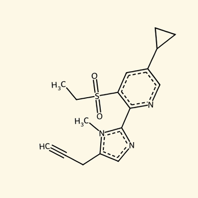 C#CCc1cnc(-c2ncc(C3CC3)cc2S(=O)(=O)CC)n1C